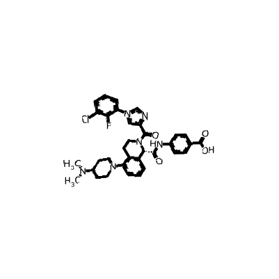 CN(C)C1CCN(c2cccc3c2CCN(C(=O)c2cn(-c4cccc(Cl)c4F)cn2)[C@@H]3C(=O)Nc2ccc(C(=O)O)cc2)CC1